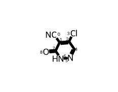 N#Cc1c(Cl)cn[nH]c1=O